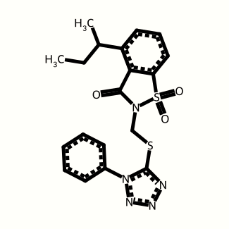 CCC(C)c1cccc2c1C(=O)N(CSc1nnnn1-c1ccccc1)S2(=O)=O